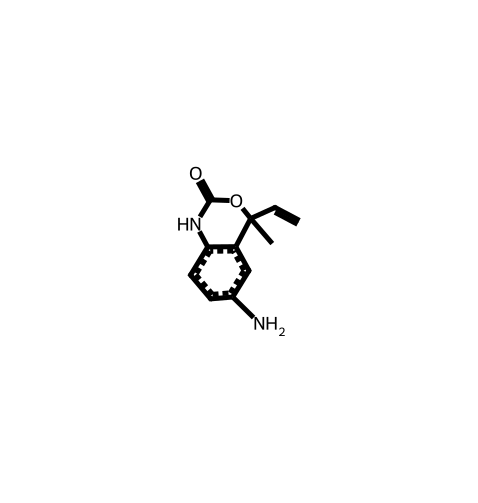 C=CC1(C)OC(=O)Nc2ccc(N)cc21